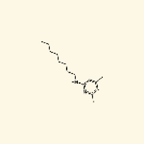 CCCCCCCCNc1cc(C)nc(C)n1